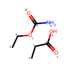 CCC(=O)O.CCOC(N)=O